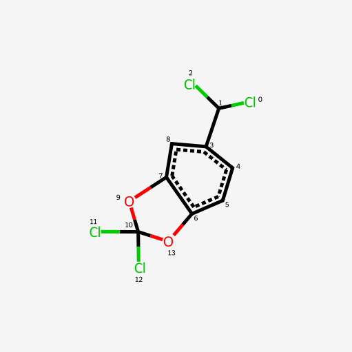 ClC(Cl)c1ccc2c(c1)OC(Cl)(Cl)O2